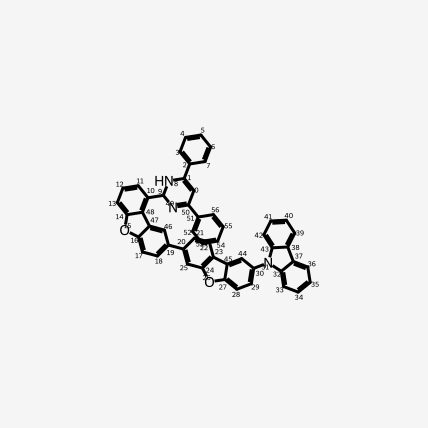 C1=C(c2ccccc2)NC(c2cccc3oc4ccc(-c5ccc6c(c5)oc5ccc(-n7c8ccccc8c8ccccc87)cc56)cc4c23)N=C1c1ccccc1